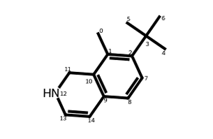 Cc1c(C(C)(C)C)ccc2c1CNC=C2